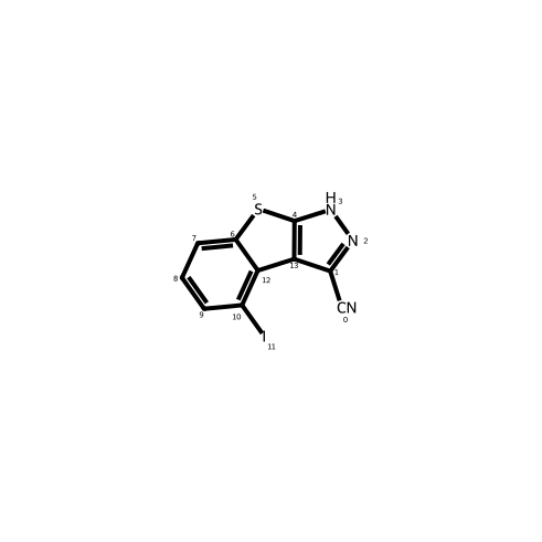 N#Cc1n[nH]c2sc3cccc(I)c3c12